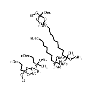 CCCCCCCCCCCCCCCCCCC(C)(C)O[SiH3].CCCCCCCCCCCCCCCC[Si](OC)(OC)OC.CCCCCCCCCCCC[Si](C)(OCC)OCC.CCCCCCCCCCCC[Si](OCC)(OCC)OCC.CCCCCCCCCC[Si](OCC)(OCC)OCC